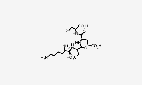 CC(C)CC(NC(=O)C(CCC(=O)O)NC(=O)C(CC(=O)O)NC(=O)C(N)CCCCN)C(=O)O